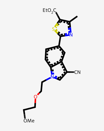 CCOC(=O)c1sc(-c2ccc3c(c2)c(C#N)cn3CCOCCOC)nc1C